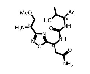 COC[C@H](N)c1noc([C@H](CC(N)=O)NC(=O)N[C@H](C(C)=O)C(C)O)n1